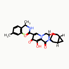 Cc1ccc([C@@H](C)NC(=O)c2cn3c(c(O)c2=O)C(=O)N2C4CCC(O[C@@H]2C3)[C@@H]2C[C@H]42)c(F)c1